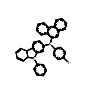 Brc1ccc(N(c2ccc3c(c2)N(c2ccccc2)C2C=CC=CC32)c2cc3ccccc3c3ccccc23)cc1